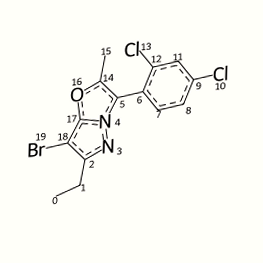 CCc1nn2c(-c3ccc(Cl)cc3Cl)c(C)oc2c1Br